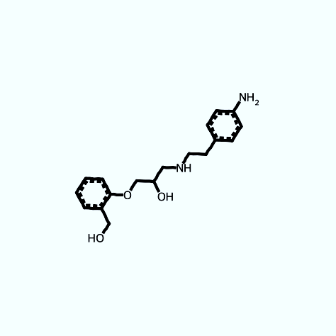 Nc1ccc(CCNCC(O)COc2ccccc2CO)cc1